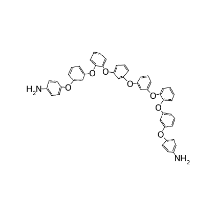 Nc1ccc(Oc2cccc(Oc3ccccc3Oc3cccc(Oc4cccc(Oc5ccccc5Oc5cccc(Oc6ccc(N)cc6)c5)c4)c3)c2)cc1